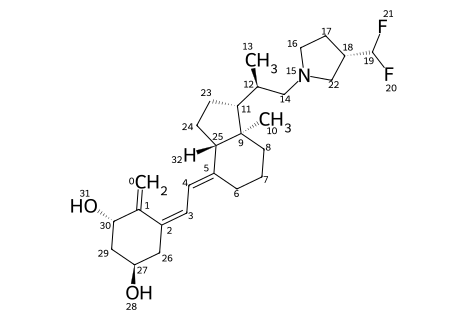 C=C1/C(=C\C=C2/CCC[C@]3(C)[C@@H]([C@@H](C)CN4CC[C@H](C(F)F)C4)CC[C@@H]23)C[C@@H](O)C[C@@H]1O